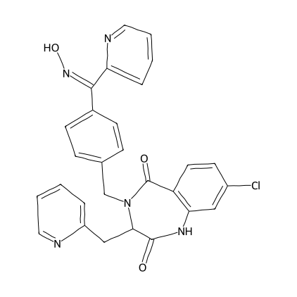 O=C1Nc2cc(Cl)ccc2C(=O)N(Cc2ccc(/C(=N/O)c3ccccn3)cc2)C1Cc1ccccn1